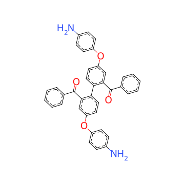 Nc1ccc(Oc2ccc(-c3ccc(Oc4ccc(N)cc4)cc3C(=O)c3ccccc3)c(C(=O)c3ccccc3)c2)cc1